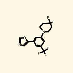 FC1(F)CCN(c2cc(-c3cnco3)cc(C(F)(F)F)c2)CC1